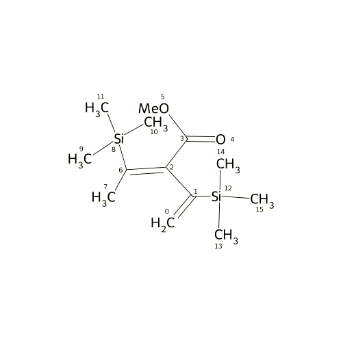 C=C(C(C(=O)OC)=C(C)[Si](C)(C)C)[Si](C)(C)C